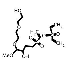 C=CS(=O)(=O)C=C.C=CS(=O)(=O)CCC(O)C(OC)OCCOCCO